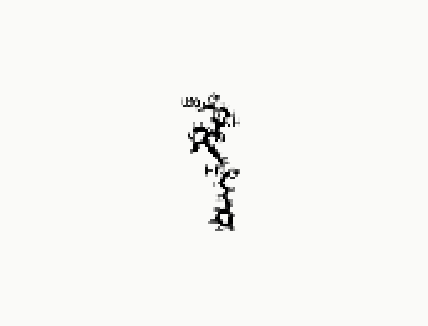 Cc1nccc(C(=O)C2CN(C(=O)OC(C)(C)C)CCN2)c1C#CCNC(=O)CCCCc1ccccc1